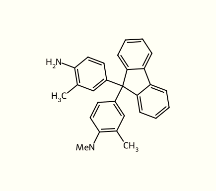 CNc1ccc(C2(c3ccc(N)c(C)c3)c3ccccc3-c3ccccc32)cc1C